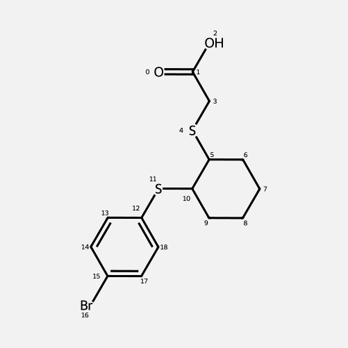 O=C(O)CSC1CCCCC1Sc1ccc(Br)cc1